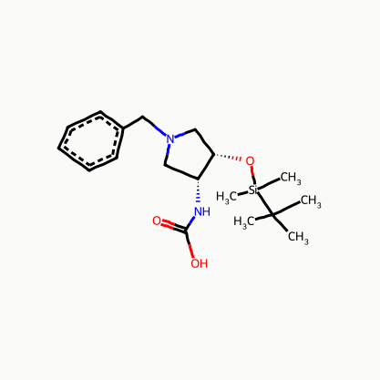 CC(C)(C)[Si](C)(C)O[C@H]1CN(Cc2ccccc2)C[C@H]1NC(=O)O